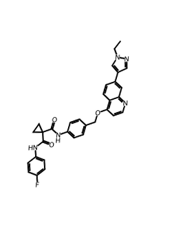 CCn1cc(-c2ccc3c(OCc4ccc(NC(=O)C5(C(=O)Nc6ccc(F)cc6)CC5)cc4)ccnc3c2)cn1